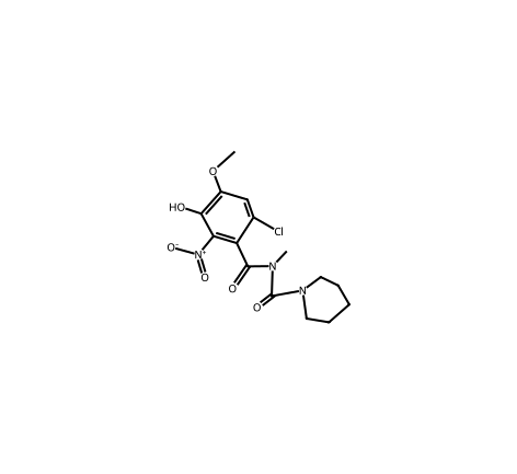 COc1cc(Cl)c(C(=O)N(C)C(=O)N2CCCCC2)c([N+](=O)[O-])c1O